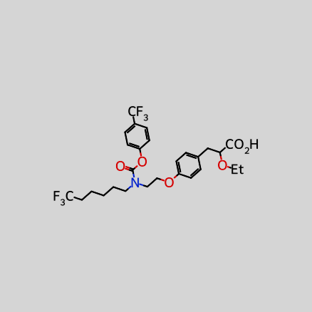 CCOC(Cc1ccc(OCCN(CCCCCC(F)(F)F)C(=O)Oc2ccc(C(F)(F)F)cc2)cc1)C(=O)O